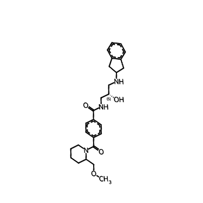 COCC1CCCCN1C(=O)c1ccc(C(=O)NC[C@@H](O)CNC2Cc3ccccc3C2)cc1